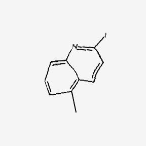 Cc1cccc2nc(I)ccc12